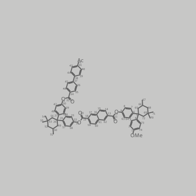 COc1ccc(C2(c3ccc(OC(=O)c4ccc5cc(C(=O)Oc6ccc(C7(c8ccc(OC(=O)c9ccc(-c%10ccc(C(C)=O)cc%10)cc9)cc8)CC(C)CC(C)(C)C7)cc6)ccc5c4)cc3)CC(C)CC(C)(C)C2)cc1